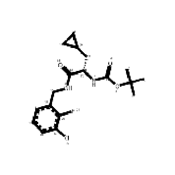 CC(C)(C)OC(=O)N[C@@H](CC1CC1)C(=O)NCc1cccc(Cl)c1F